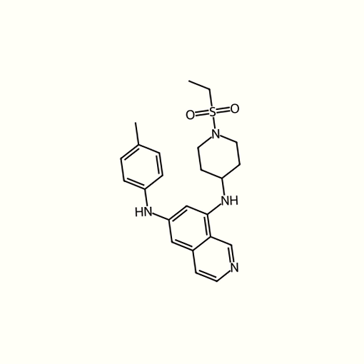 CCS(=O)(=O)N1CCC(Nc2cc(Nc3ccc(C)cc3)cc3ccncc23)CC1